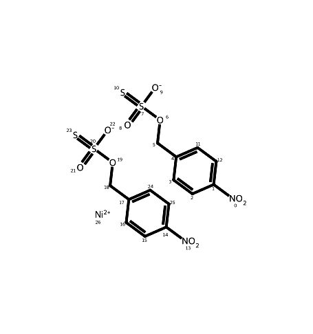 O=[N+]([O-])c1ccc(COS(=O)([O-])=S)cc1.O=[N+]([O-])c1ccc(COS(=O)([O-])=S)cc1.[Ni+2]